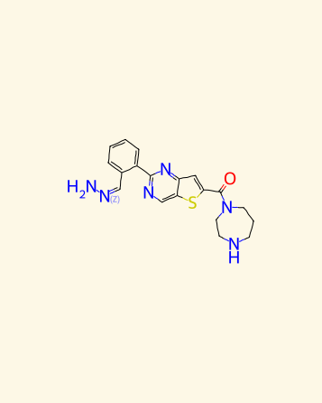 N/N=C\c1ccccc1-c1ncc2sc(C(=O)N3CCCNCC3)cc2n1